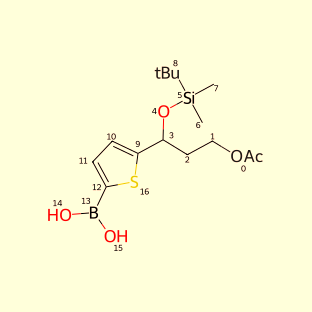 CC(=O)OCCC(O[Si](C)(C)C(C)(C)C)c1ccc(B(O)O)s1